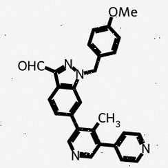 COc1ccc(Cn2nc(C=O)c3ccc(-c4cncc(-c5ccncc5)c4C)cc32)cc1